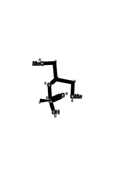 COCC(COC)O[P@](C)(=O)O